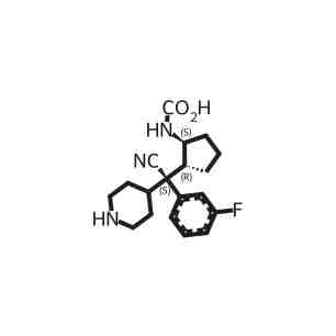 N#C[C@@](c1cccc(F)c1)(C1CCNCC1)[C@H]1CCC[C@@H]1NC(=O)O